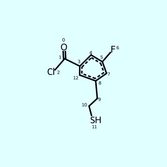 O=C(Cl)c1cc(F)cc(CCS)c1